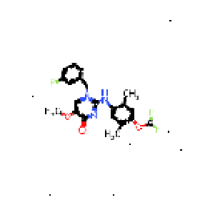 COc1cn(Cc2cccc(F)c2)c(Nc2cc(C)c(OC(F)F)cc2C)nc1=O